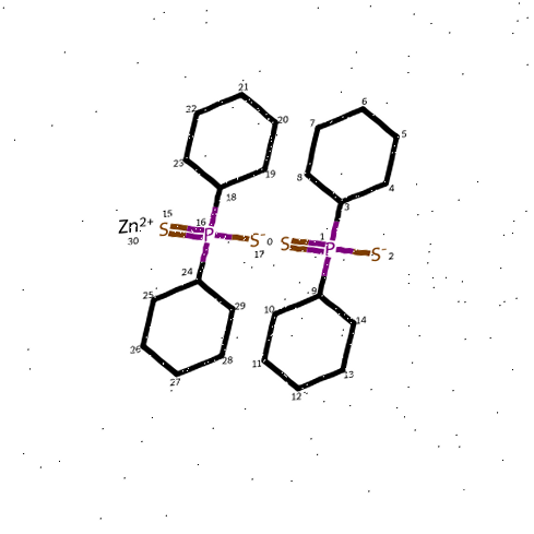 S=P([S-])(C1CCCCC1)C1CCCCC1.S=P([S-])(C1CCCCC1)C1CCCCC1.[Zn+2]